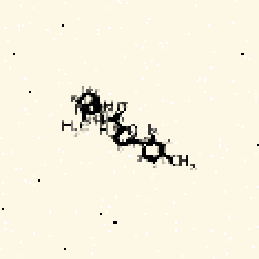 Cc1ccc(-c2ccc(C(=O)N[C@@H]3C4CCN(CC4)[C@H]3C)o2)c(F)c1